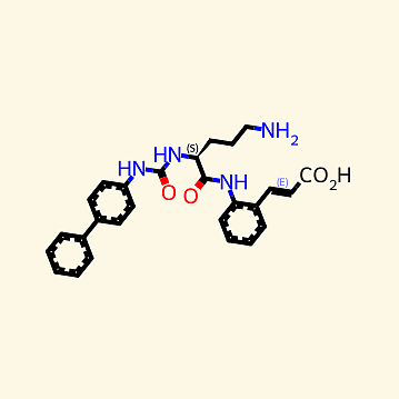 NCCC[C@H](NC(=O)Nc1ccc(-c2ccccc2)cc1)C(=O)Nc1ccccc1/C=C/C(=O)O